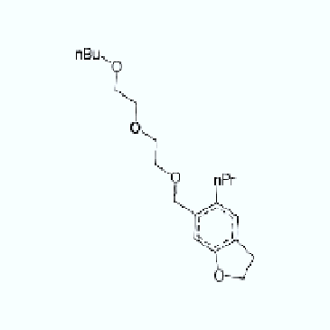 CCCCOCCOCCOCc1cc2c(cc1CCC)CCO2